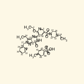 CCOc1ncc(S(=O)(=O)N2CCN(CC)CC2)cc1-c1nc2c(CC)n(Cc3ccccn3)nc2c(=O)[nH]1.Cc1ccc(S(=O)(=O)O)cc1